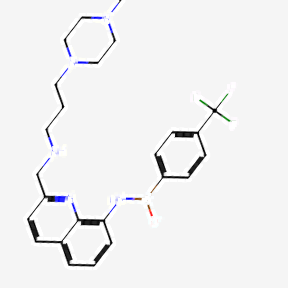 CN1CCN(CCCNCc2ccc3cccc(N[S+]([O-])c4ccc(C(F)(F)F)cc4)c3n2)CC1